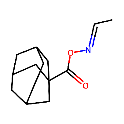 C/C=N/OC(=O)C12CC3CC(CC(C3)C1)C2